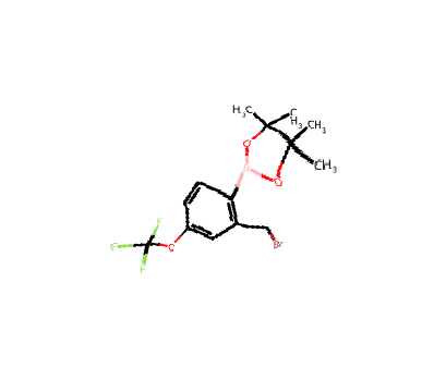 CC1(C)OB(c2ccc(OC(F)(F)F)cc2CBr)OC1(C)C